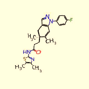 CC1=Cc2c(cnn2-c2ccc(F)cc2)C[C@]1(C)CCC(=O)Nc1nc(C)c(C)s1